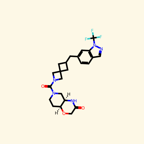 O=C1CO[C@H]2CCN(C(=O)N3CC4(CC(Cc5ccc6cnn(C(F)(F)F)c6c5)C4)C3)C[C@H]2N1